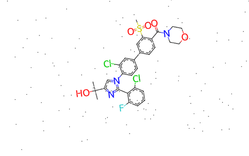 CC(C)(O)c1cn(-c2ccc(-c3ccc(C(=O)N4CCOCC4)c(S(C)(=O)=O)c3)cc2Cl)c(-c2c(F)cccc2Cl)n1